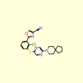 N#Cc1coc(-c2cccc(Sc3cnc(N4CCC5(CCCC5)CC4)cn3)c2Cl)n1